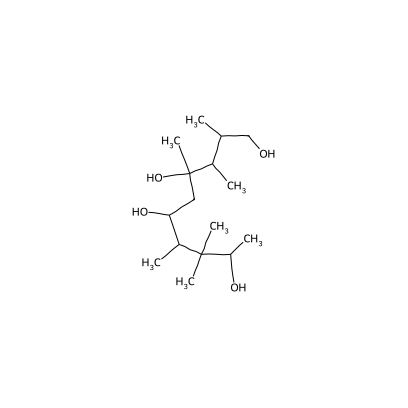 CC(CO)C(C)C(C)(O)CC(O)C(C)C(C)(C)C(C)O